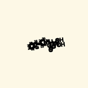 O=[N+]([O-])O[C@H](CON(O)O)CN1CC=C(c2cc3ccccc3s2)CC1